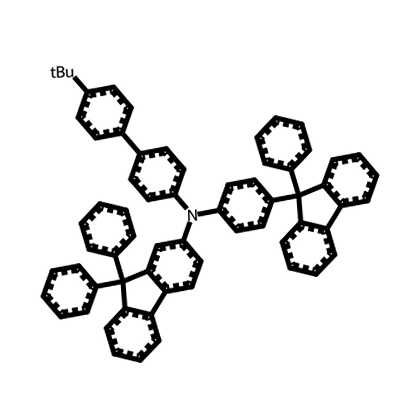 CC(C)(C)c1ccc(-c2ccc(N(c3ccc(C4(c5ccccc5)c5ccccc5-c5ccccc54)cc3)c3ccc4c(c3)C(c3ccccc3)(c3ccccc3)c3ccccc3-4)cc2)cc1